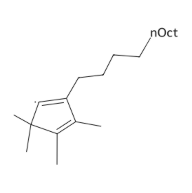 CCCCCCCCCCCCC1=[C]C(C)(C)C(C)=C1C